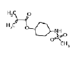 C=C(C)C(=O)OC1CCC(NS(C)(=O)=O)CC1